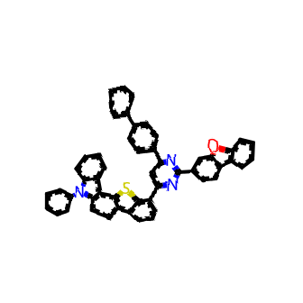 c1ccc(-c2ccc(-c3cc(-c4cccc5c4sc4c5ccc5c4c4ccccc4n5-c4ccccc4)nc(-c4ccc5c(c4)oc4ccccc45)n3)cc2)cc1